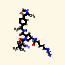 Cc1ncsc1-c1ccc([C@H](C)NC(=O)C2CC(NC(=O)CCCCN=[N+]=[N-])CN2C(=O)[C@@H](N)C(C)(C)C)cc1